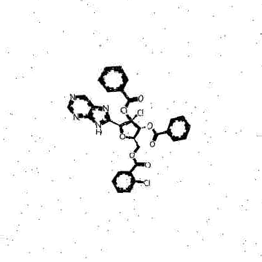 O=C(O[C@@H]1[C@@H](COC(=O)c2ccccc2Cl)O[C@@H](c2nc3cncnc3[nH]2)[C@]1(Cl)OC(=O)c1ccccc1)c1ccccc1